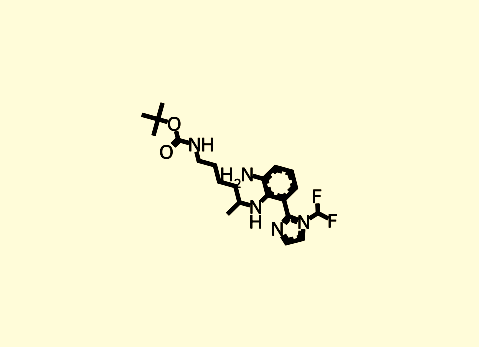 CC(CCCCNC(=O)OC(C)(C)C)Nc1c(N)cccc1-c1nccn1C(F)F